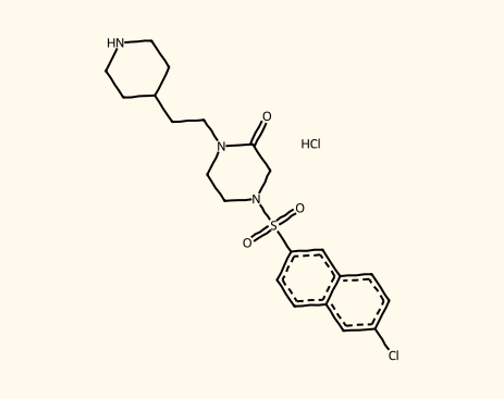 Cl.O=C1CN(S(=O)(=O)c2ccc3cc(Cl)ccc3c2)CCN1CCC1CCNCC1